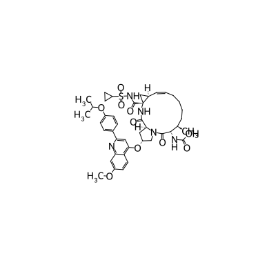 COc1ccc2c(O[C@@H]3C[C@H]4C(=O)N[C@]5(C(=O)NS(=O)(=O)C6CC6)C[C@H]5C=CCCCC[C@@H](C)[C@H](NC(=O)O)C(=O)N4C3)cc(-c3ccc(OC(C)C)cc3)nc2c1